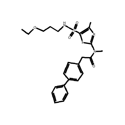 CCOCCCNS(=O)(=O)c1sc(N(C)C(=O)Cc2ccc(-c3ccccc3)cc2)nc1C